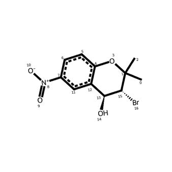 CC1(C)Oc2ccc([N+](=O)[O-])cc2[C@H](O)[C@H]1Br